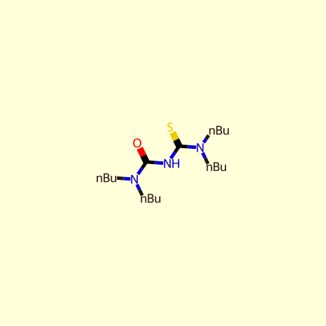 CCCCN(CCCC)C(=O)NC(=S)N(CCCC)CCCC